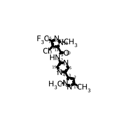 Cc1cc(-c2cnc(NC(=O)c3c(Cl)c(C(F)(F)F)nn3C)cn2)n(C)n1